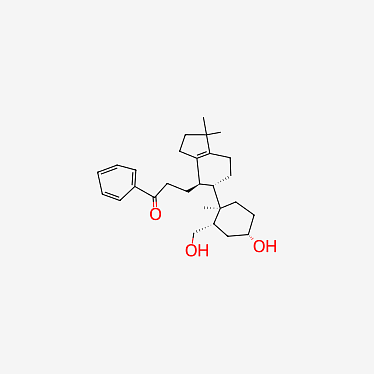 CC1(C)CCC2=C1CC[C@H]([C@@]1(C)CC[C@H](O)C[C@@H]1CO)[C@H]2CCC(=O)c1ccccc1